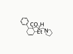 CCC1C=CCC(c2ccccc2)C1(CCCN1CCCC1)C(=O)O